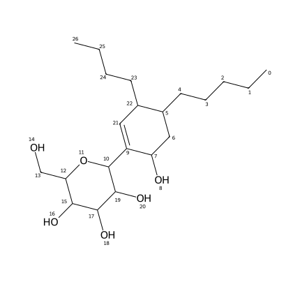 CCCCCC1CC(O)C(C2OC(CO)C(O)C(O)C2O)=CC1CCCC